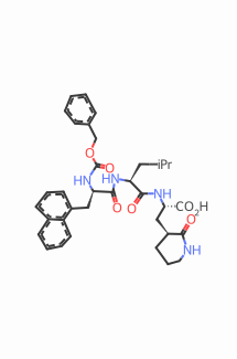 CC(C)C[C@H](NC(=O)[C@@H](Cc1cccc2ccccc12)NC(=O)OCc1ccccc1)C(=O)N[C@@H](C[C@@H]1CCCNC1=O)C(=O)O